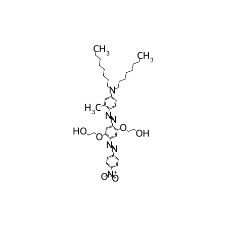 CCCCCCCCN(CCCCCCCC)c1ccc(/N=N/c2cc(OCCO)c(/N=N/c3ccc([N+](=O)[O-])cc3)cc2OCCO)c(C)c1